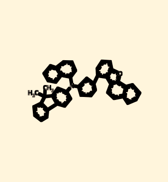 CC1(C)c2ccccc2-c2ccc(N(c3cccc(-c4cccc5oc6c7ccccc7ccc6c45)c3)c3cccc4ccccc34)cc21